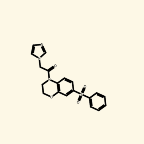 O=C(Cn1ccnc1)N1CCOc2cc(S(=O)(=O)c3ccccc3)ccc21